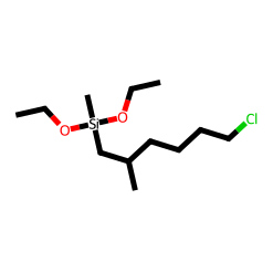 CCO[Si](C)(CC(C)CCCCCl)OCC